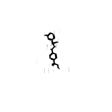 Cc1cc(C2=NOC(c3cc(Cl)cc(Cl)c3)(C(F)(F)F)C2)ccc1C(=O)CC(C)C